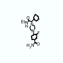 CCNC(=O)C(c1ccccc1)N1CCN(c2ccc(C(N)=O)cc2F)CC1